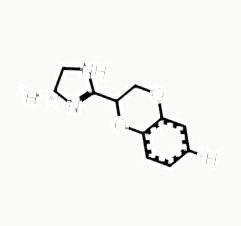 [2H]c1ccc2c(c1)OCC(C1=N[C@H]([2H])CN1)O2